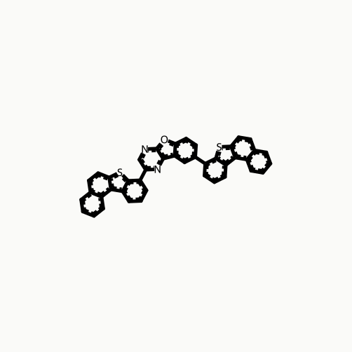 c1ccc2c(c1)ccc1sc3c(-c4ccc5oc6ncc(-c7cccc8c7sc7ccc9ccccc9c78)nc6c5c4)cccc3c12